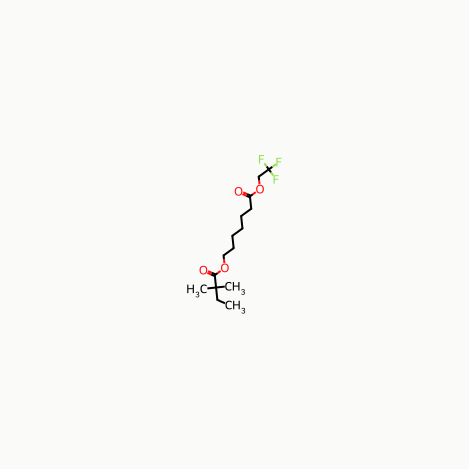 CCC(C)(C)C(=O)OCCCCCCC(=O)OCC(F)(F)F